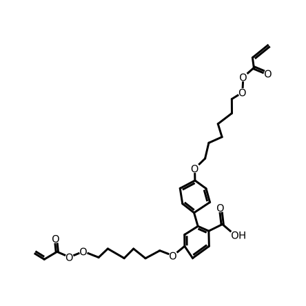 C=CC(=O)OOCCCCCCOc1ccc(-c2cc(OCCCCCCOOC(=O)C=C)ccc2C(=O)O)cc1